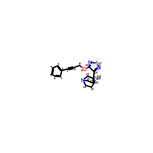 C(#Cc1ccccc1)COc1nsnc1[C@@H]1CN2CCC1CC2